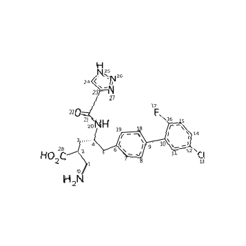 NCC(C[C@@H](Cc1ccc(-c2cc(Cl)ccc2F)cc1)NC(=O)c1c[nH]nn1)C(=O)O